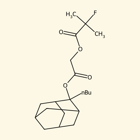 CCCCC1(OC(=O)COC(=O)C(C)(C)F)C2CC3CC(C2)CC1C3